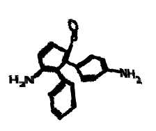 Nc1ccc(-c2c(P=O)ccc(N)c2-c2ccccc2)cc1